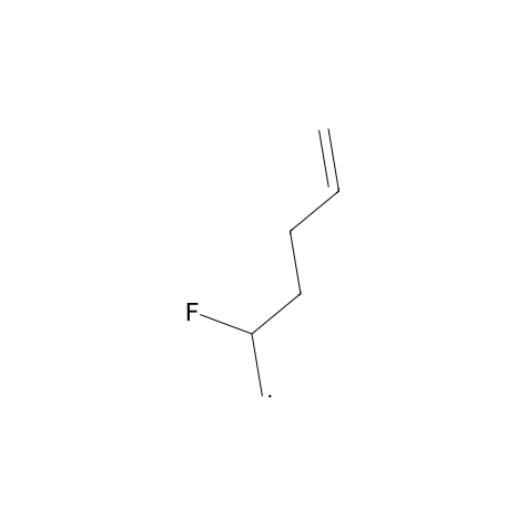 [CH2]C(F)CCC=C